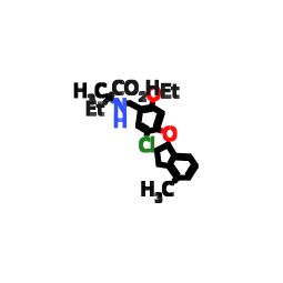 CCOc1cc(O[C@H]2CCc3c(C)cccc32)c(Cl)cc1CN[C@@](C)(CC)C(=O)O